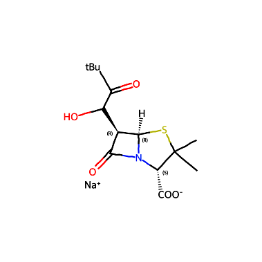 CC(C)(C)C(=O)C(O)[C@@H]1C(=O)N2[C@@H]1SC(C)(C)[C@@H]2C(=O)[O-].[Na+]